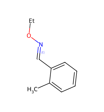 CCO/N=[C]/c1ccccc1C